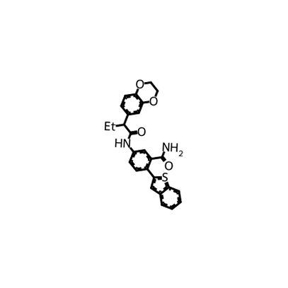 CCC(C(=O)Nc1ccc(-c2cc3ccccc3s2)c(C(N)=O)c1)c1ccc2c(c1)OCCO2